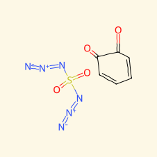 O=C1C=CC=CC1=O.[N-]=[N+]=NS(=O)(=O)N=[N+]=[N-]